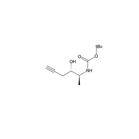 C#CC[C@H](O)[C@H](C)NC(=O)OC(C)(C)C